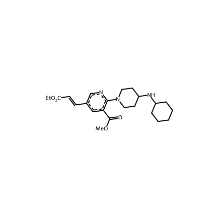 CCOC(=O)/C=C/c1cnc(N2CCC(NC3CCCCC3)CC2)c(C(=O)OC)c1